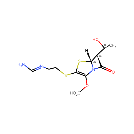 C[C@@H](O)[C@H]1C(=O)N2C(OC(=O)O)=C(SCCN=CN)S[C@H]12